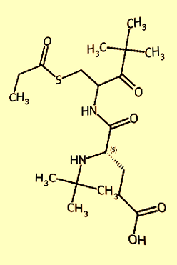 CCC(=O)SCC(NC(=O)[C@H](CCC(=O)O)NC(C)(C)C)C(=O)C(C)(C)C